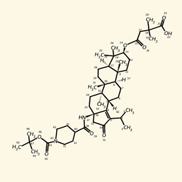 CC(C)C1=C2[C@H]3CC[C@@H]4[C@@]5(C)CC[C@H](OC(=O)CC(C)(C)C(=O)O)C(C)(C)[C@@H]5CC[C@@]4(C)[C@]3(C)CC[C@@]2(NC(=O)C2CCN(C(=O)OC(C)(C)C)CC2)CC1=O